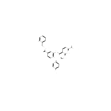 Cc1ccccc1CNC(=O)c1ccc(Sc2ccc(N)cc2)c(Nc2ncnc3nc(C(C)C)ccc23)c1